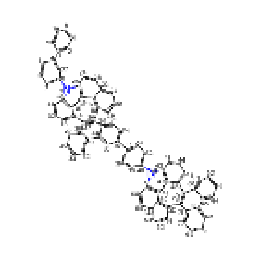 c1ccc(-c2cccc(-n3c4cccc5c4c4c6c(cccc6ccc43)-c3c-5c4ccccc4c4cc(-c5ccc(-n6c7cccc8c7c7c9c(cccc9ccc76)-c6c-8c7ccccc7c7ccccc67)cc5)ccc34)c2)cc1